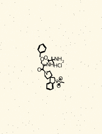 CC(C)(N)C(=O)N[C@H](COCc1ccccc1)C(=O)N1CCC2(CC1)CN(S(C)(=O)=O)c1ccccc12.Cl